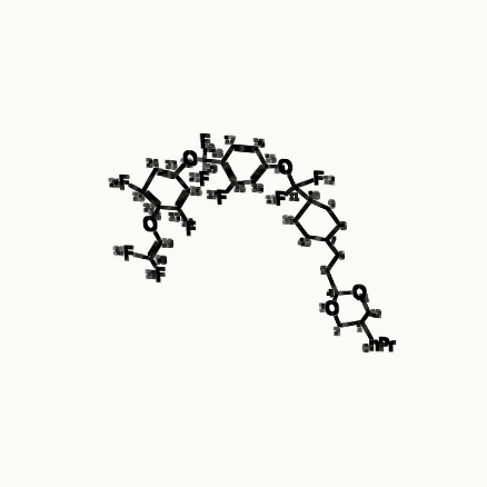 CCCC1COC(CCC2CCC(C(F)(F)Oc3ccc(C(F)(F)Oc4cc(F)c(OC=C(F)F)c(F)c4)c(F)c3)CC2)OC1